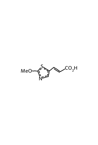 COc1ncc(C=CC(=O)O)s1